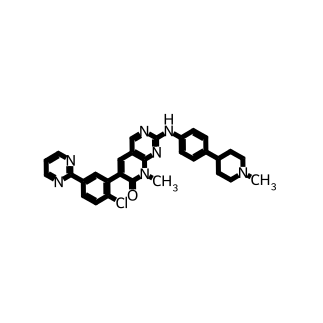 CN1CCC(c2ccc(Nc3ncc4cc(-c5cc(-c6ncccn6)ccc5Cl)c(=O)n(C)c4n3)cc2)CC1